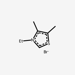 CC[n+]1csc(C)c1C.[Br-]